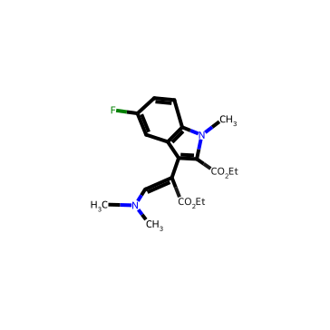 CCOC(=O)C(=CN(C)C)c1c(C(=O)OCC)n(C)c2ccc(F)cc12